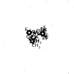 Cc1cc(F)ccc1[C@H]1CC2(CCN1C(=O)N(C)[C@H](C)c1cc(C(F)(F)F)cc(C(F)(F)F)c1)N[C@@H](C)CC2I